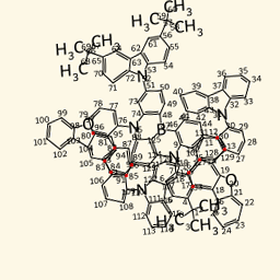 CC(C)(C)c1ccc(N2c3cc(-c4c(-c5cccc6c5oc5ccccc56)cccc4-n4c5ccccc5c5ccccc54)ccc3B3c4ccc(-n5c6ccc(C(C)(C)C)cc6c6cc(C(C)(C)C)ccc65)cc4N(c4ccccc4-c4ccccc4)c4cc(-c5c(-c6ccc7oc8ccccc8c7c6)cccc5-n5c6ccccc6c6ccccc65)cc2c43)c(-c2ccccc2)c1